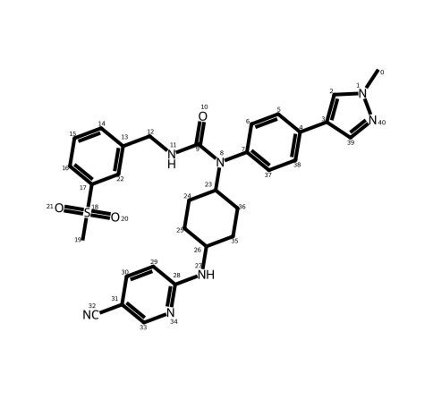 Cn1cc(-c2ccc(N(C(=O)NCc3cccc(S(C)(=O)=O)c3)C3CCC(Nc4ccc(C#N)cn4)CC3)cc2)cn1